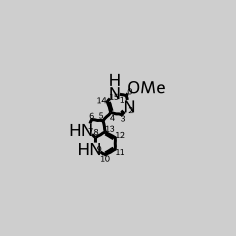 COC1N=CC(C2CNC3NC=CC=C32)=CN1